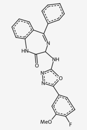 COc1cc(-c2nnc(NC3N=C(c4ccccc4)c4ccccc4NC3=O)o2)ccc1F